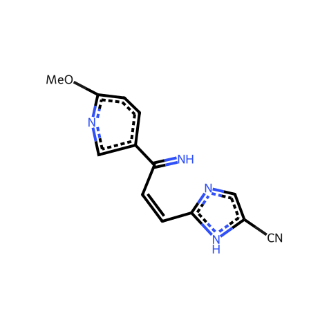 COc1ccc(C(=N)/C=C\c2ncc(C#N)[nH]2)cn1